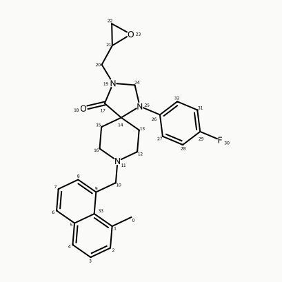 Cc1cccc2cccc(CN3CCC4(CC3)C(=O)N(CC3CO3)CN4c3ccc(F)cc3)c12